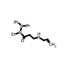 C=CCNCCC(=O)N(CC)N(C(C)C)C(C)C